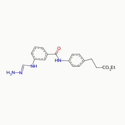 CCOC(=O)CCc1ccc(NC(=O)c2cccc(NC=NN)c2)cc1